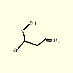 C=CCC(CC)SS